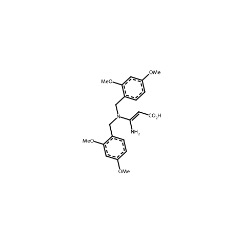 COc1ccc(CN(Cc2ccc(OC)cc2OC)/C(N)=C/C(=O)O)c(OC)c1